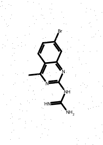 Cc1nc(NC(=N)N)nc2cc(Br)ccc12